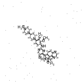 COc1c(Nc2ncc(Br)c(Nc3ccc4nccnc4c3P(C)(C)=O)n2)ccc(N2CCC(N3CCN(C)CC3)CC2)c1C